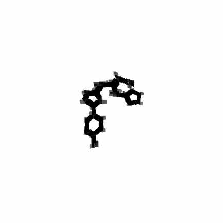 CCN1CCN(c2nnc(NC(=NC#N)NC3CCCC3)s2)CC1